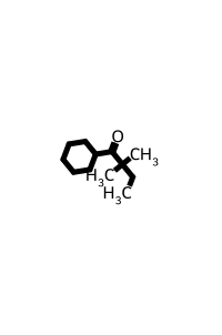 CCC(C)(C)C(=O)C1CCCCC1